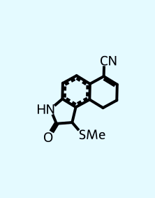 CSC1C(=O)Nc2ccc3c(c21)CCC=C3C#N